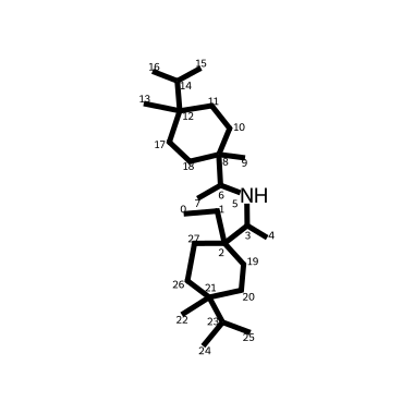 CCC1(C(C)NC(C)C2(C)CCC(C)(C(C)C)CC2)CCC(C)(C(C)C)CC1